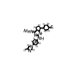 CNc1nc(NC23CCC(n4cnc(C)c4)(CC2)CC3)nc2c1CCC2c1ccc(F)cc1